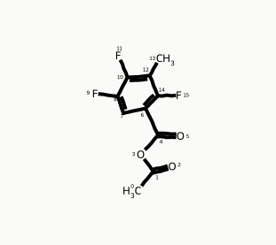 CC(=O)OC(=O)c1cc(F)c(F)c(C)c1F